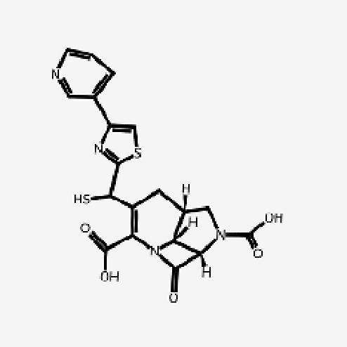 O=C(O)C1=C(C(S)c2nc(-c3cccnc3)cs2)C[C@@H]2CN(C(=O)O)[C@@H]3C(=O)N1[C@H]23